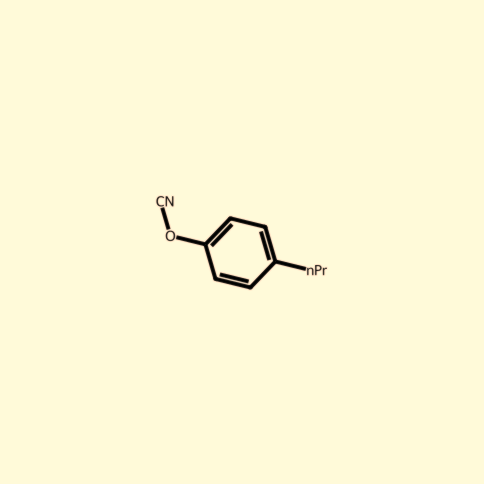 CCCc1ccc(OC#N)cc1